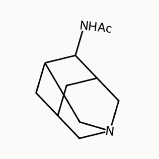 CC(=O)NC1C2CC3CC1CN(C3)C2